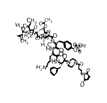 CC[C@H](C)[C@H](NC(=O)[C@H]1CN1C)C(=O)N(C)[C@H](C[C@@H](OC(C)=O)c1nc(C(=O)N(C)[C@@H](Cc2ccc(OS(=O)(=O)O)cc2)C(=O)N[C@H](CCCCN)C(=O)N[C@@H](Cc2ccccc2)C(=O)N2CCN(C(=O)CCCN3C(=O)C=CC3=O)CC2)cs1)C(C)C